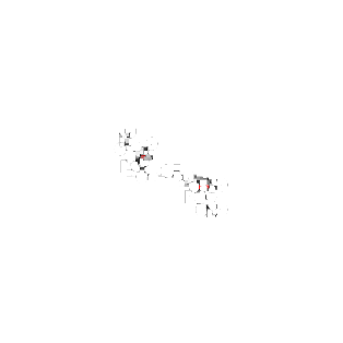 Cn1c(=O)c2cc3c(=O)n(C)c(=O)c3c(Oc3c(F)c(F)c(Oc4ccc(C(C)(c5ccc(Oc6c(F)c(F)c(Oc7c8c(=O)n(C)c(=O)c8cc8c(=O)n(C)c(=O)c78)c(F)c6F)cc5)C(F)(F)F)cc4)c(F)c3F)c2c1=O